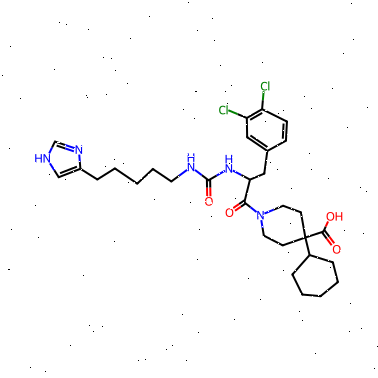 O=C(NCCCCCc1c[nH]cn1)NC(Cc1ccc(Cl)c(Cl)c1)C(=O)N1CCC(C(=O)O)(C2CCCCC2)CC1